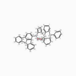 c1ccc(N2c3ccccc3[Si]3(c4ccccc42)c2ccccc2N(c2ccc4c5ccccc5n5c6ccccc6c2c45)c2ccccc23)cc1